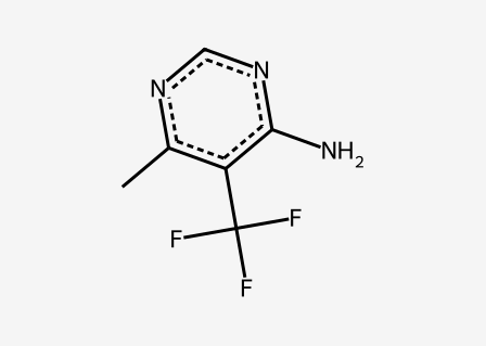 Cc1ncnc(N)c1C(F)(F)F